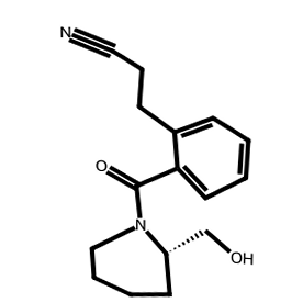 N#CCCc1ccccc1C(=O)N1CCCC[C@H]1CO